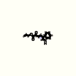 C=CCOC(=O)C(=O)/C=C/c1c[nH]c2ccccc12